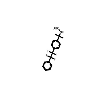 CC(C)(NC=O)c1ccc(C(F)(F)C(F)(F)c2ccccc2)cc1